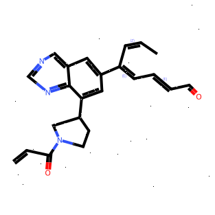 C=CC(=O)N1CCC(c2cc(C(/C=C\C)=C/C=C/C=O)cc3cncnc23)C1